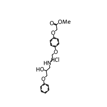 COC(=O)COc1ccc(OCCNCC(O)COc2ccccc2)cc1.Cl